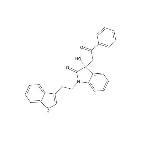 O=C(C[C@]1(O)C(=O)N(CCc2c[nH]c3ccccc23)c2ccccc21)c1ccccc1